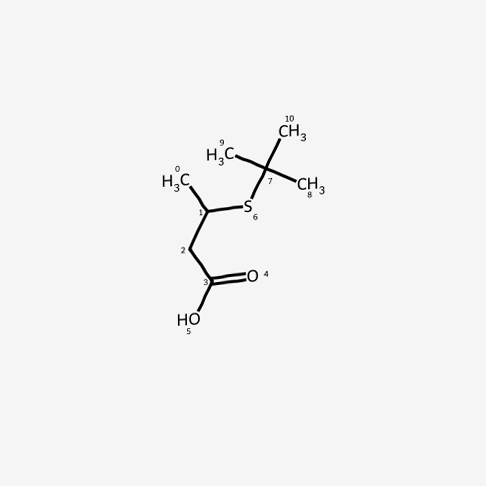 CC(CC(=O)O)SC(C)(C)C